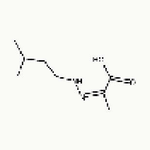 CC(=NNCCC(C)C)C(=O)O